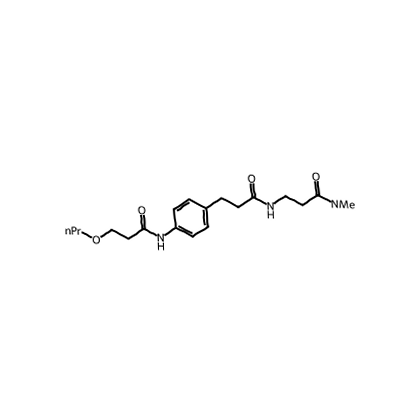 CCCOCCC(=O)Nc1ccc(CCC(=O)NCCC(=O)NC)cc1